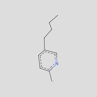 [CH2]c1ccc(CCCC)cn1